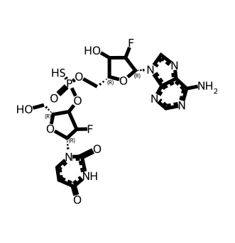 Nc1ncnc2c1ncn2[C@@H]1O[C@H](COP(=O)(S)OC2C(F)[C@H](n3ccc(=O)[nH]c3=O)O[C@@H]2CO)C(O)C1F